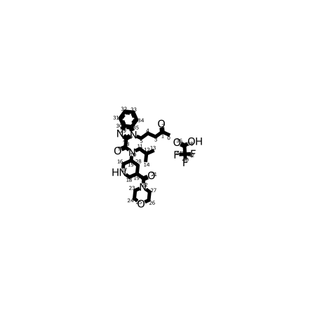 CC(=O)CCCn1c(C(=O)N(CC(C)C)C2CNCC(C(=O)N3CCOCC3)C2)nc2ccccc21.O=C(O)C(F)(F)F